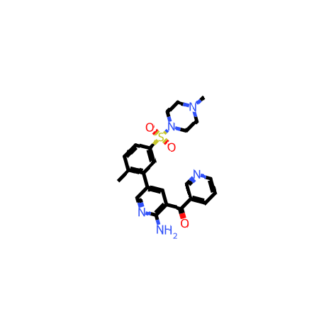 Cc1ccc(S(=O)(=O)N2CCN(C)CC2)cc1-c1cnc(N)c(C(=O)c2cccnc2)c1